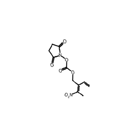 C=C/C(COC(=O)ON1C(=O)CCC1=O)=C(\C)[N+](=O)[O-]